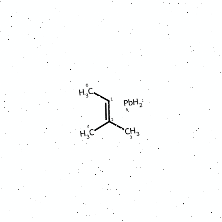 CC=C(C)C.[PbH2]